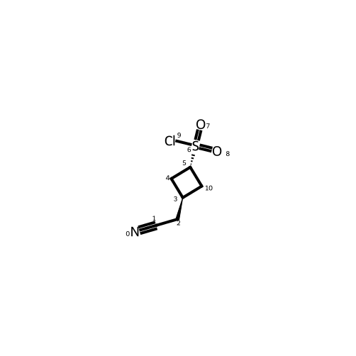 N#CC[C@H]1C[C@H](S(=O)(=O)Cl)C1